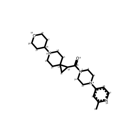 Cc1cc(N2CCN(C(=O)C3CC34CCN(C3CCOCC3)CC4)CC2)ccn1